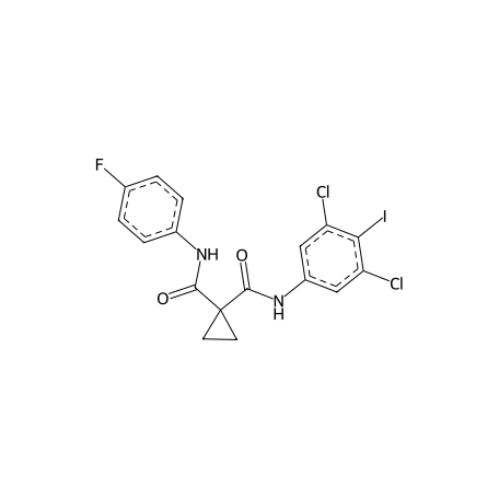 O=C(Nc1ccc(F)cc1)C1(C(=O)Nc2cc(Cl)c(I)c(Cl)c2)CC1